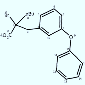 CCCCC(Br)(Cc1cccc(Oc2ccccc2)c1)C(=O)O